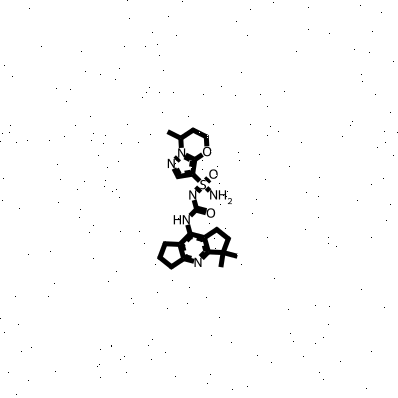 CC1CCOc2c(S(N)(=O)=NC(=O)Nc3c4c(nc5c3CCC5(C)C)CCC4)cnn21